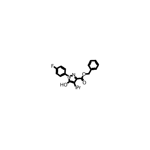 CC(C)c1c(C(=O)OCc2ccccc2)nn(-c2ccc(F)cc2)c1O